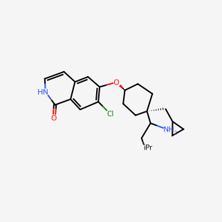 CC(C)CC(N)[C@]1(CC2CC2)CC[C@H](Oc2cc3cc[nH]c(=O)c3cc2Cl)CC1